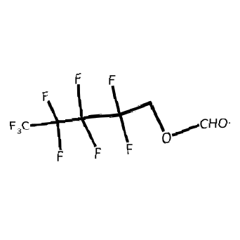 O=[C]OCC(F)(F)C(F)(F)C(F)(F)C(F)(F)F